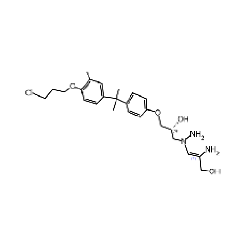 Cc1cc(C(C)(C)c2ccc(OC[C@H](O)CN(N)/C=C(\N)CO)cc2)ccc1OCCCCl